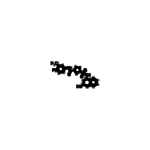 Cc1cc(NC(=O)[C@H]2CCN(S(=O)(=O)N[C@H]3C[C@H](O)Cc4ccccc43)C2)ccc1F